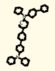 c1ccc(-c2ccc(N(c3ccccc3)c3ccc(-c4ccc(-c5ccc(N(c6ccccc6)c6ccccc6)cc5)cc4)cc3)cc2)cc1